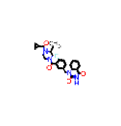 CCC1CN(C(=O)c2cc(Cn3c(=O)[nH]c(=O)c4ccccc43)ccc2F)CCN1C(=O)C1CC1